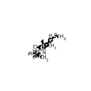 Cc1cc(Nc2ncc(Cl)c(Nc3cn(C)nc3S(=O)(=O)C(C)C)n2)c(OC2CC2)cc1C1CCN(CCN(C)C)CC1